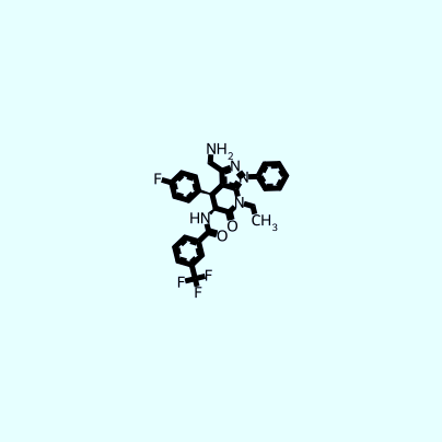 CCN1C(=O)[C@@H](NC(=O)c2cccc(C(F)(F)F)c2)[C@@H](c2ccc(F)cc2)c2c(CN)nn(-c3ccccc3)c21